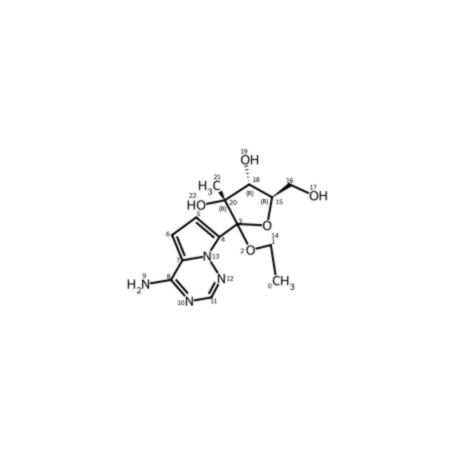 CCOC1(c2ccc3c(N)ncnn23)O[C@H](CO)[C@@H](O)[C@@]1(C)O